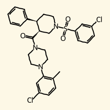 Cc1ccc(Cl)cc1N1CCN(C(=O)[C@@H]2CN(S(=O)(=O)c3cccc(Cl)c3)CC[C@@H]2c2ccccc2)CC1